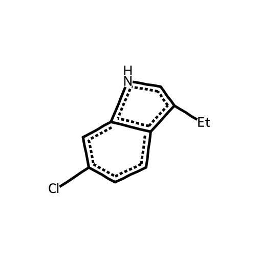 [CH2]Cc1c[nH]c2cc(Cl)ccc12